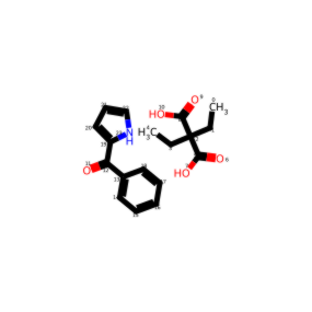 CCC(CC)(C(=O)O)C(=O)O.O=C(c1ccccc1)c1ccc[nH]1